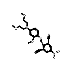 COCCN(CCOC)c1ccc(N=Nc2c(C#N)cc([N+](=O)[O-])cc2C#N)c(OC)c1